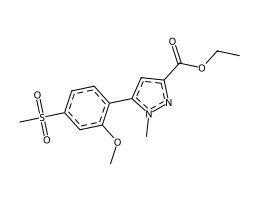 CCOC(=O)c1cc(-c2ccc(S(C)(=O)=O)cc2OC)n(C)n1